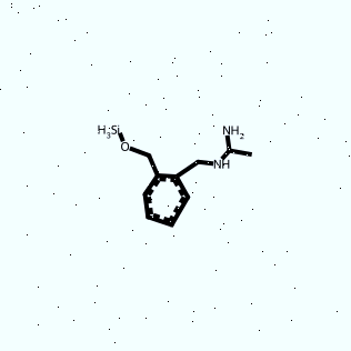 CC(N)NCc1ccccc1CO[SiH3]